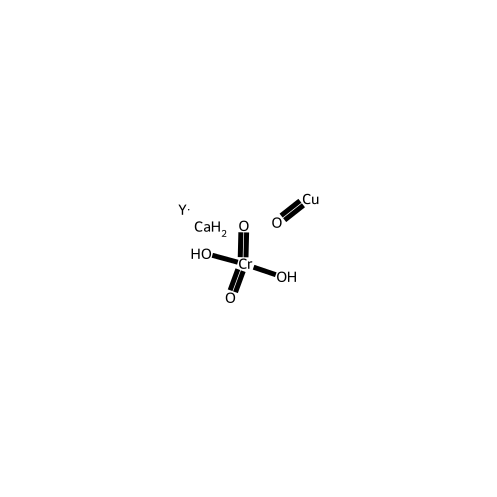 [CaH2].[O]=[Cr](=[O])([OH])[OH].[O]=[Cu].[Y]